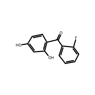 O=C(c1ccc(O)cc1O)c1ccccc1F